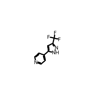 FC(F)(F)c1cc(-c2ccncc2)[nH]n1